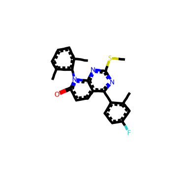 CSc1nc(-c2ccc(F)cc2C)c2ccc(=O)n(-c3c(C)cccc3C)c2n1